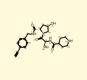 C#Cc1ccc(CNC(=O)[C@@H]2C[C@@H](O)CN2C(=O)[C@@H](NC(=O)C2CCNCC2)C(C)(C)C)cc1